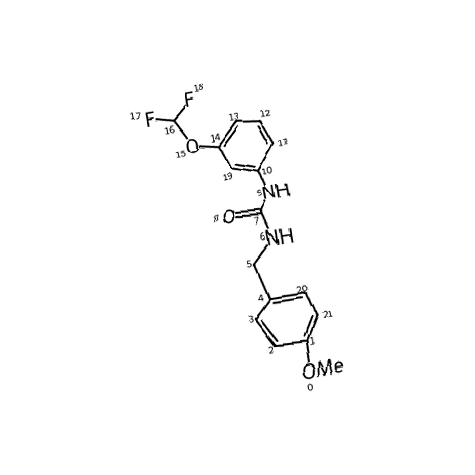 COc1ccc(CNC(=O)Nc2cccc(OC(F)F)c2)cc1